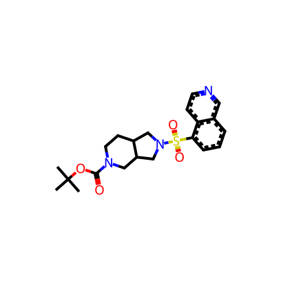 CC(C)(C)OC(=O)N1CCC2CN(S(=O)(=O)c3cccc4cnccc34)CC2C1